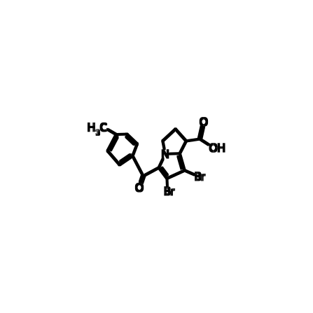 Cc1ccc(C(=O)c2c(Br)c(Br)c3n2CCC3C(=O)O)cc1